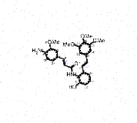 COc1cc(/C=C/C(=O)Nc2c(O)cccc2/C=C/c2cc(OC)c(OC)c(OC)c2)ccc1N